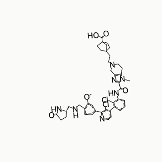 COc1cc(-c2nccc(-c3cccc(NC(=O)c4nc5c(n4C)CCN(CCC46CCC(C(=O)O)(CC4)C6)C5)c3Cl)c2Cl)ccc1CNC[C@H]1CCC(=O)N1